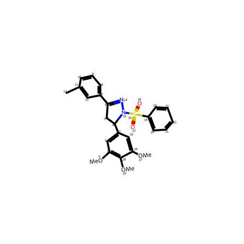 COc1cc(C2CC(c3cccc(C)c3)=NN2S(=O)(=O)c2ccccc2)cc(OC)c1OC